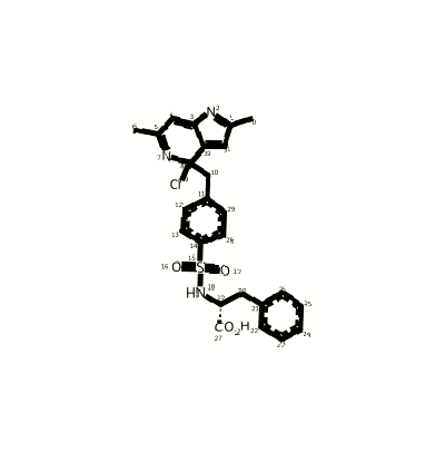 CC1=NC2=CC(C)=NC(Cl)(Cc3ccc(S(=O)(=O)N[C@H](Cc4ccccc4)C(=O)O)cc3)C2=C1